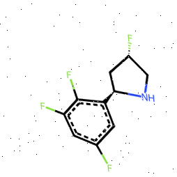 Fc1cc(F)c(F)c([C@H]2C[C@H](F)CN2)c1